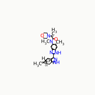 Cc1cc2[nH]c(-c3n[nH]c4c3C[C@@H]3[C@H](C)[C@]3(C)C4)nc2cc1N(C)C(=O)[C@H](C)N1CCOCC1